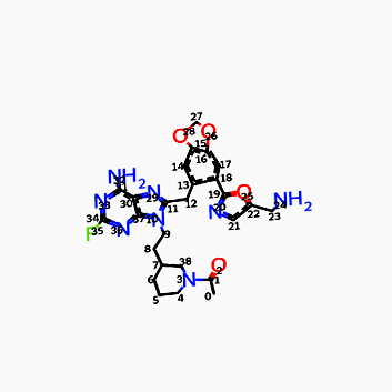 CC(=O)N1CCCC(CCn2c(Cc3cc4c(cc3-c3ncc(CN)o3)OCO4)nc3c(N)nc(F)nc32)C1